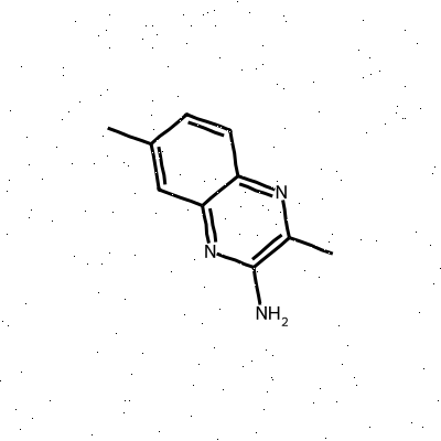 Cc1ccc2nc(C)c(N)nc2c1